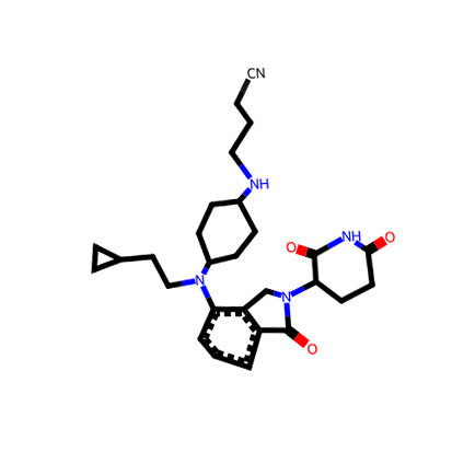 N#CCCCNC1CCC(N(CCC2CC2)c2cccc3c2CN(C2CCC(=O)NC2=O)C3=O)CC1